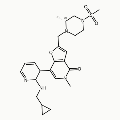 C[C@@H]1CN(S(C)(=O)=O)CCN1Cc1cc2c(=O)n(C)cc(C3C=CC=NC3NCC3CC3)c2o1